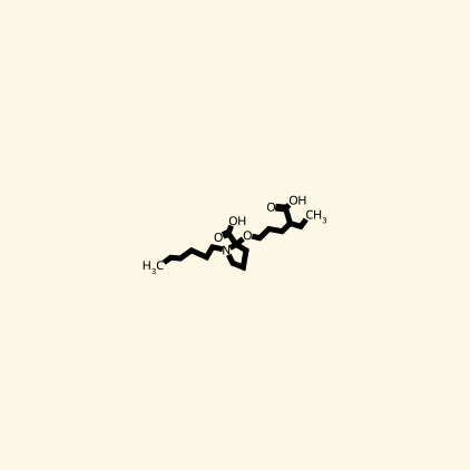 CCCCCCN1CCCC1(OCCCC(CC)C(=O)O)C(=O)O